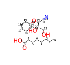 CCCCCCCC(=O)O.N#CC(Oc1ccccc1)C(O)CO